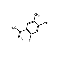 C=C(C)c1cc(C)c(O)cc1F